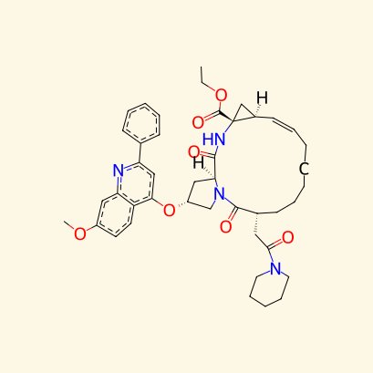 CCOC(=O)[C@@]12C[C@H]1C=CCCCCC[C@H](CC(=O)N1CCCCC1)C(=O)N1C[C@H](Oc3cc(-c4ccccc4)nc4cc(OC)ccc34)C[C@H]1C(=O)N2